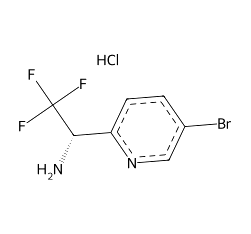 Cl.N[C@@H](c1ccc(Br)cn1)C(F)(F)F